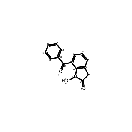 CN1C(=O)Cc2cccc(C(=O)c3ccccc3)c21